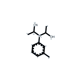 Cc1cccc(N(C(C)O)C(C)C#N)c1